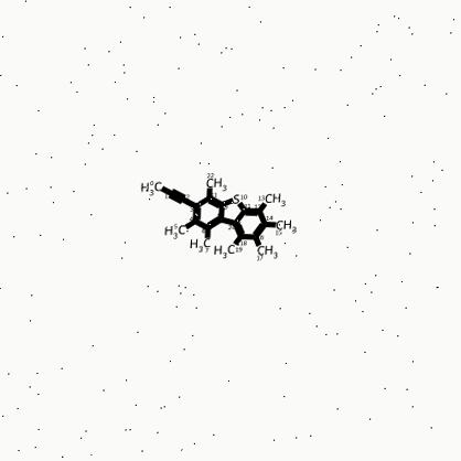 CC#Cc1c(C)c(C)c2c(sc3c(C)c(C)c(C)c(C)c32)c1C